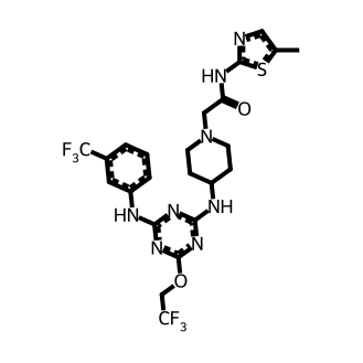 Cc1cnc(NC(=O)CN2CCC(Nc3nc(Nc4cccc(C(F)(F)F)c4)nc(OCC(F)(F)F)n3)CC2)s1